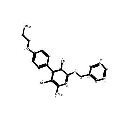 CNC1=C(C#N)C(c2ccc(OCCOC)cc2)C(C#N)C(SCc2cncnc2)=N1